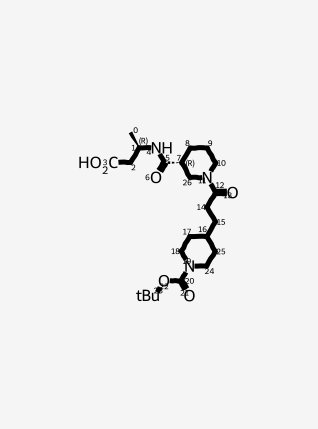 C[C@H](CC(=O)O)NC(=O)[C@@H]1CCCN(C(=O)CCC2CCN(C(=O)OC(C)(C)C)CC2)C1